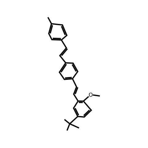 COc1ccc(C(C)(C)C)cc1/C=C/c1ccc(/C=C/c2ccc(C)cc2)cc1